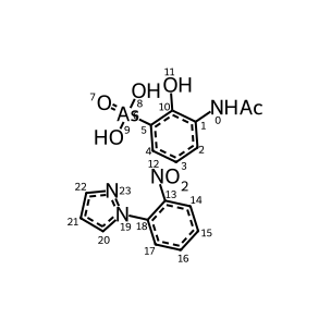 CC(=O)Nc1cccc([As](=O)(O)O)c1O.O=[N+]([O-])c1ccccc1-n1cccn1